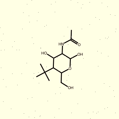 CC(=O)NC1C(O)OC(CO)C(C(C)(C)C)C1O